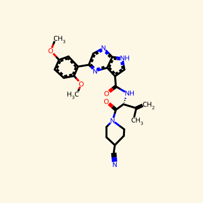 C=C(C)[C@@H](NC(=O)c1c[nH]c2ncc(-c3cc(OC)ccc3OC)nc12)C(=O)N1CCC(C#N)CC1